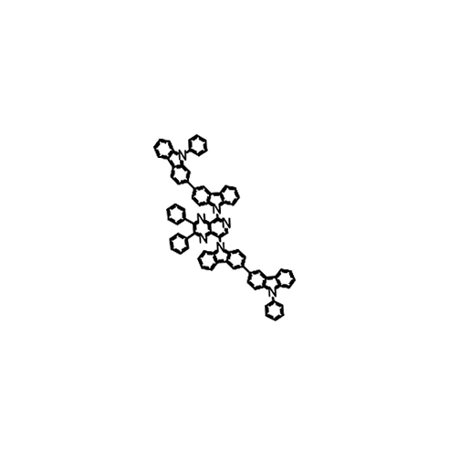 c1ccc(-c2nc3c(-n4c5ccccc5c5cc(-c6ccc7c(c6)c6ccccc6n7-c6ccccc6)ccc54)cnc(-n4c5ccccc5c5cc(-c6ccc7c8ccccc8n(-c8ccccc8)c7c6)ccc54)c3nc2-c2ccccc2)cc1